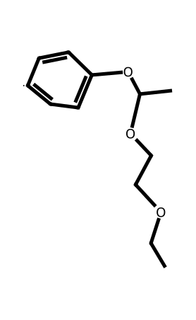 CCOCCOC(C)Oc1cc[c]cc1